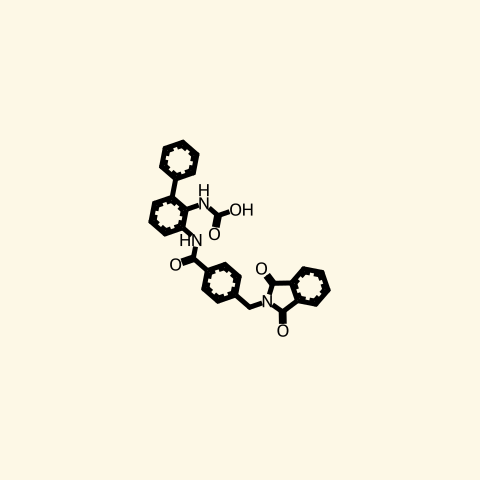 O=C(O)Nc1c(NC(=O)c2ccc(CN3C(=O)c4ccccc4C3=O)cc2)cccc1-c1ccccc1